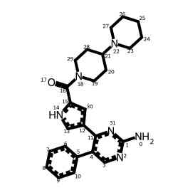 Nc1ncc(-c2ccccc2)c(-c2c[nH]c(C(=O)N3CCC(N4CCCCC4)CC3)c2)n1